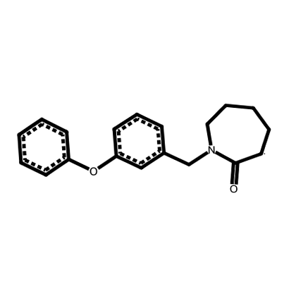 O=C1[CH]CCCCN1Cc1cccc(Oc2ccccc2)c1